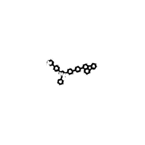 c1ccc(-c2nc(-c3ccc(-c4ccc(-c5ccc6c7c(cccc57)-c5ccccc5-6)cc4)cc3)cc(-c3ccc(-c4cccnc4)cc3)n2)cc1